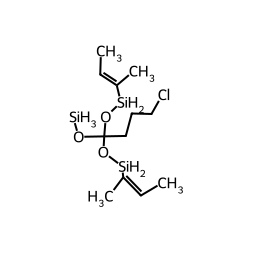 CC=C(C)[SiH2]OC(CCCCl)(O[SiH3])O[SiH2]C(C)=CC